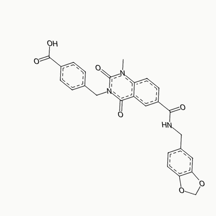 Cn1c(=O)n(Cc2ccc(C(=O)O)cc2)c(=O)c2cc(C(=O)NCc3ccc4c(c3)OCO4)ccc21